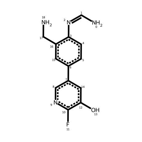 N/C=N\c1ccc(-c2cnc(F)c(O)c2)cc1CN